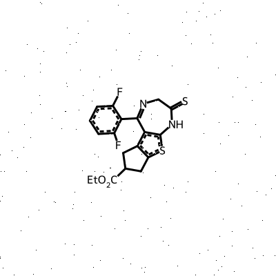 CCOC(=O)C1Cc2sc3c(c2C1)C(c1c(F)cccc1F)=NCC(=S)N3